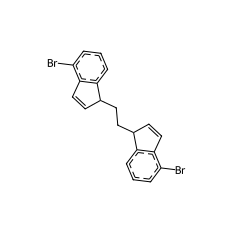 Brc1cccc2c1C=CC2CCC1C=Cc2c(Br)cccc21